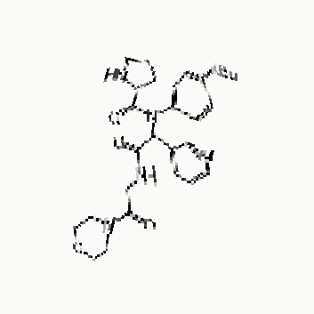 CC(C)(C)c1ccc(N(C(=O)C2CCCN2)C(C(=O)NCC(=O)N2CCOCC2)c2cccnc2)cc1